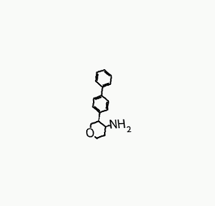 N[C@H]1CCOC[C@H]1c1ccc(-c2ccccc2)cc1